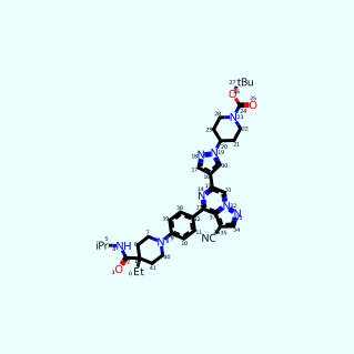 CCC1(C(=O)NC(C)C)CCN(c2ccc(-c3nc(-c4cnn(C5CCN(C(=O)OC(C)(C)C)CC5)c4)cn4ncc(C#N)c34)cc2)CC1